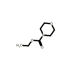 CCOC(=O)N1CCOCC1